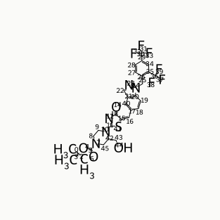 CC(C)(C)OC(=O)N1CCN(C2=NC(=O)C(=Cc3ccc4c(cnn4Cc4ccc(C(F)(F)F)cc4C(F)(F)F)c3)S2)C(CO)C1